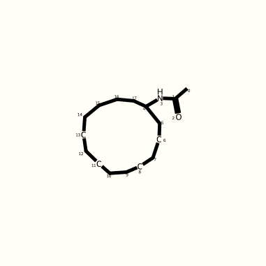 CC(=O)NC1CCCCCCCCCCCCC1